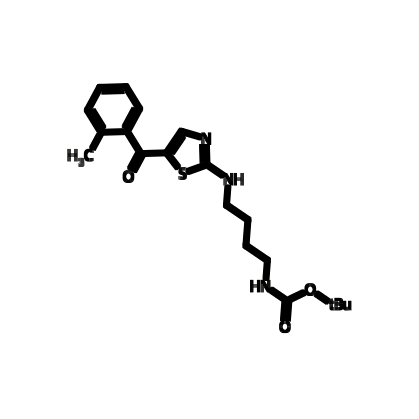 Cc1ccccc1C(=O)c1cnc(NCCCCNC(=O)OC(C)(C)C)s1